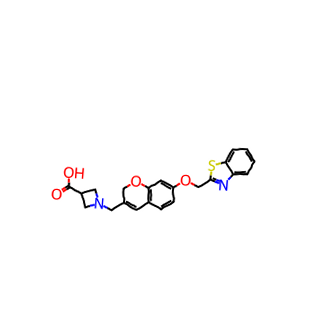 O=C(O)C1CN(CC2=Cc3ccc(OCc4nc5ccccc5s4)cc3OC2)C1